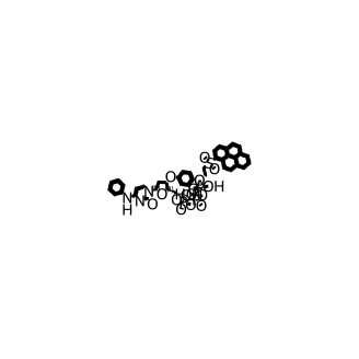 O=c1nc(Nc2ccccc2)ccn1[C@H]1CC(Oc2ccccc2)[C@@H](COP(=O)(O)OP(=O)(O)OP(=O)(O)OCCS(=O)(=O)c2ccc3ccc4cccc5ccc2c3c45)O1